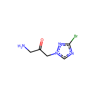 NCC(=O)Cn1cnc(Br)n1